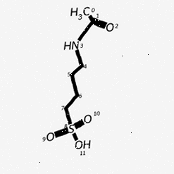 CC(=O)NCCCCS(=O)(=O)O